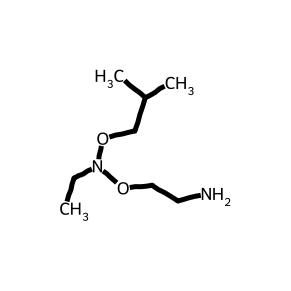 CCN(OCCN)OCC(C)C